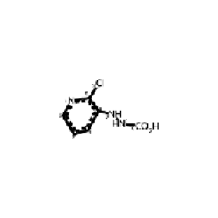 O=C(O)NNc1cccnc1Cl